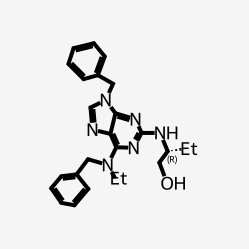 CC[C@H](CO)Nc1nc(N(CC)Cc2ccccc2)c2ncn(Cc3ccccc3)c2n1